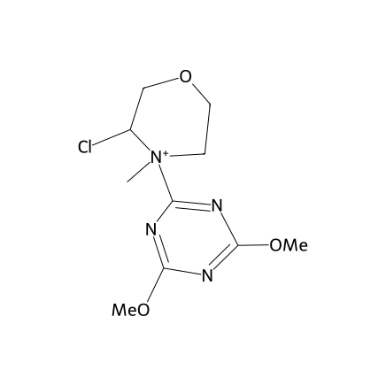 COc1nc(OC)nc([N+]2(C)CCOCC2Cl)n1